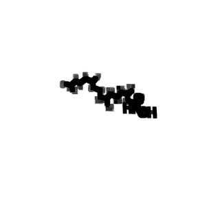 CC(C)CCCC(C)CCCC(C)CCCC(C)CC(=O)NO